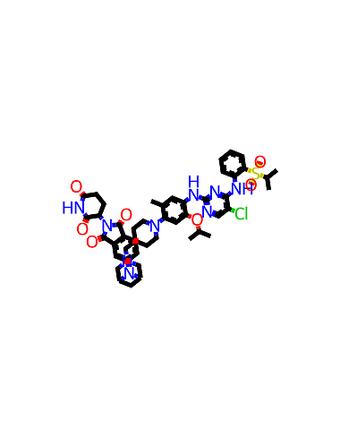 Cc1cc(Nc2ncc(Cl)c(Nc3ccccc3S(=O)(=O)C(C)C)n2)c(OC(C)C)cc1N1CCC(CN2CC3CC(C2)N3c2ccc3c(c2)C(=O)N(C2CCC(=O)NC2=O)C3=O)CC1